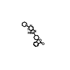 O=C1OC2(CCC(c3nc4cnc(N5CCCCC5)nc4[nH]3)CC2)c2ccccc21